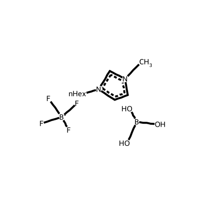 CCCCCC[n+]1ccn(C)c1.F[B-](F)(F)F.OB(O)O